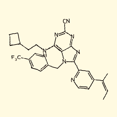 C/C=C(/C)c1ccnc(-c2nc3nc(C#N)nc(NCCC4CCC4)c3n2Cc2ccc(C(F)(F)F)cc2)c1